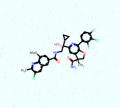 COc1cc(C(=O)NC[C@](O)(c2cc3c(c(-c4ccc(F)c(Cl)c4F)n2)OC[C@]3(C)C(N)=O)C2CC2)cc2cc(Cl)c(C)nc12